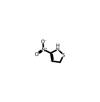 O=[N+]([O-])C1=[C]CSN1